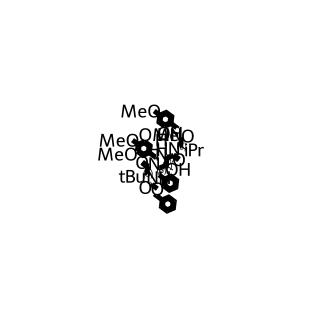 COc1ccc(CNC(=O)[C@@H](NC(=O)[C@H](NCc2cc(OC)c(OC)c(OC)c2)[C@H](O)[C@H](Cc2ccccc2)NC(=O)[C@@H](NC(=O)OCc2ccccc2)C(C)(C)C)C(C)C)c(O)c1